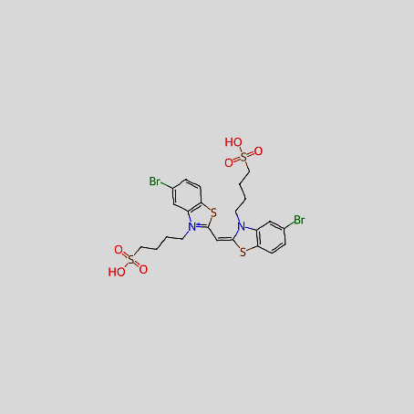 O=S(=O)(O)CCCCN1C(=Cc2sc3ccc(Br)cc3[n+]2CCCCS(=O)(=O)O)Sc2ccc(Br)cc21